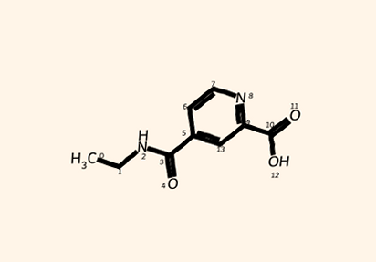 CCNC(=O)c1ccnc(C(=O)O)c1